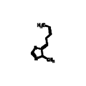 C/C=C\C/C=C1\SC=NC1C